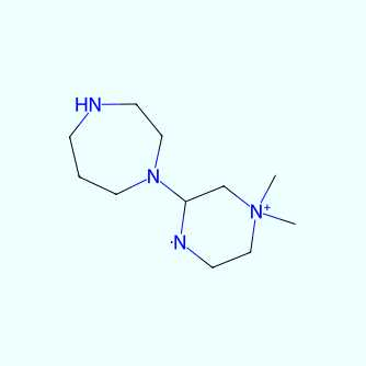 C[N+]1(C)CC[N]C(N2CCCNCC2)C1